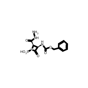 NNC(=O)[C@H]1[C@@H](NC(=O)OCc2ccccc2)C(=O)N1S(=O)(=O)O